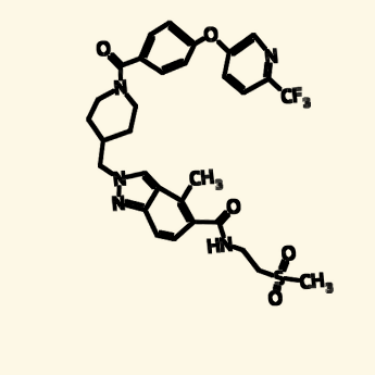 Cc1c(C(=O)NCCS(C)(=O)=O)ccc2nn(CC3CCN(C(=O)c4ccc(Oc5ccc(C(F)(F)F)nc5)cc4)CC3)cc12